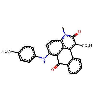 Cn1c(=O)c(C(=O)O)c2c3c(c(Nc4ccc(S(=O)(=O)O)cc4)ccc31)C(=O)c1ccccc1-2